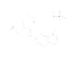 CC(C)(C)OC(=O)NC1CCCCC1Nc1ncc2ccc(B3OC(C)(C)C(C)(C)O3)n2n1